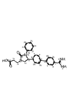 N=C(N)c1ccc(-c2ccc(C3CN(CCC(=O)O)C(=O)N3c3ccccc3)cc2)cc1